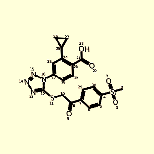 CS(=O)(=O)c1ccc(C(=O)CSc2nnnn2-c2ccc(C(=O)O)c(C3CC3)c2)cc1